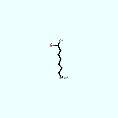 CCCCCCCCCCCC([O])Br